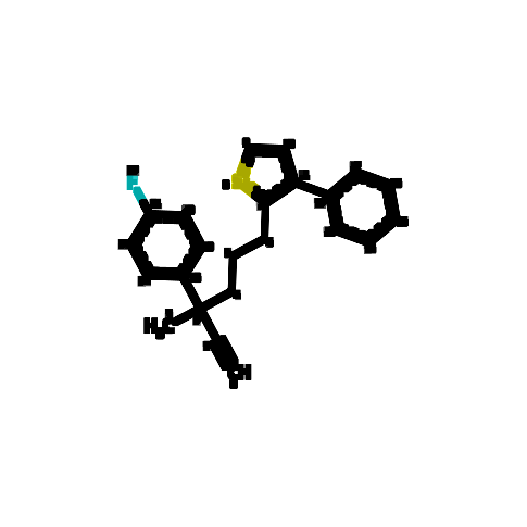 C#CC(C)(CCCc1sccc1-c1ccccc1)c1ccc(F)cc1